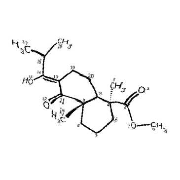 COC(=O)[C@@]1(C)CCC[C@]2(C)C(=O)/C(=C(\O)C(C)C)CCC12